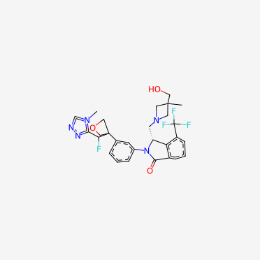 Cn1cnnc1C(F)C1(c2cccc(N3C(=O)c4cccc(C(F)(F)F)c4[C@H]3CN3CC(C)(CO)C3)c2)COC1